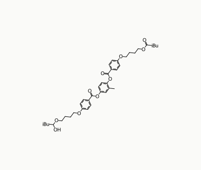 CCC(C)C(=O)OCCCCOc1ccc(C(=O)Oc2ccc(OC(=O)c3ccc(OCCCCOC(O)C(C)CC)cc3)cc2C)cc1